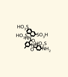 Cc1ccc(C(=O)Nc2cc(S(=O)(=O)O)cc3cc(S(=O)(=O)O)cc(S(=O)(=O)O)c23)c(NC(=O)c2ccc(N)cc2S(=O)(=O)O)c1